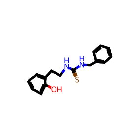 Oc1ccccc1CCNC(=S)NCc1ccccc1